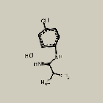 CC(C)C(=N)Nc1ccc(O)cc1.Cl